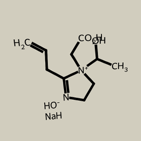 C=CCC1=NCC[N+]1(CC(=O)O)C(C)O.[NaH].[OH-]